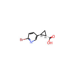 O=C(O)[C@H]1C[C@@H]1c1ccc(Br)nc1